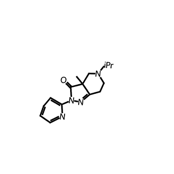 CC(C)N1CCC2=NN(c3ccccn3)C(=O)C2(C)C1